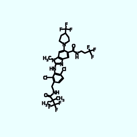 Cn1c(Nc2c(Cl)ccc(CNC(=O)C(C)(C)C(F)(F)F)c2Cl)nc2cc(C(=O)NCCC(F)(F)F)c(N3CCC(C(F)(F)F)CC3)cc21